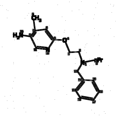 CCCN(CCOc1cc(C)c(N)cn1)Cc1ccccc1